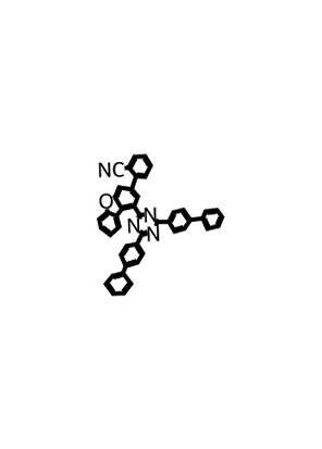 N#Cc1ccccc1-c1cc(-c2nc(-c3ccc(-c4ccccc4)cc3)nc(-c3ccc(-c4ccccc4)cc3)n2)c2c(c1)oc1ccccc12